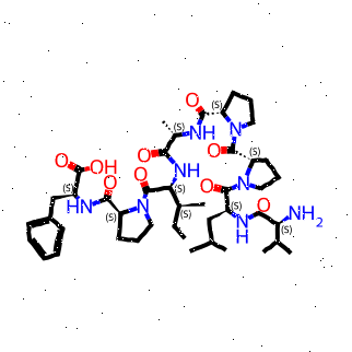 CC[C@H](C)[C@H](NC(=O)[C@H](C)NC(=O)[C@@H]1CCCN1C(=O)[C@@H]1CCCN1C(=O)[C@H](CC(C)C)NC(=O)[C@@H](N)C(C)C)C(=O)N1CCC[C@H]1C(=O)N[C@@H](Cc1ccccc1)C(=O)O